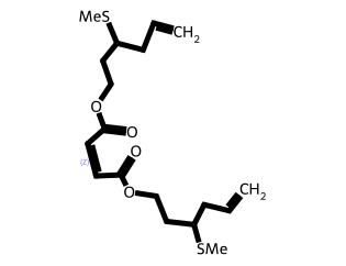 C=CCC(CCOC(=O)/C=C\C(=O)OCCC(CC=C)SC)SC